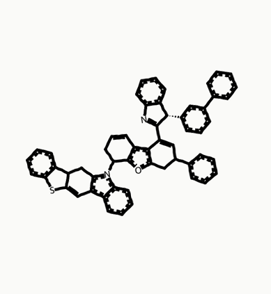 C1=Cc2c(oc3c2C(C2=Nc4ccccc4[C@@H]2c2cccc(-c4ccccc4)c2)=CC(c2ccccc2)C3)C(n2c3c(c4ccccc42)C=C2Sc4ccccc4C2C3)C1